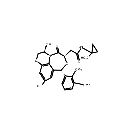 COc1cccc([C@H]2O[C@H](CC(=O)NC3(C(=O)O)CC3)C(=O)N3c4c(cc(C)cc42)OC[C@H]3C(C)(C)C)c1OC